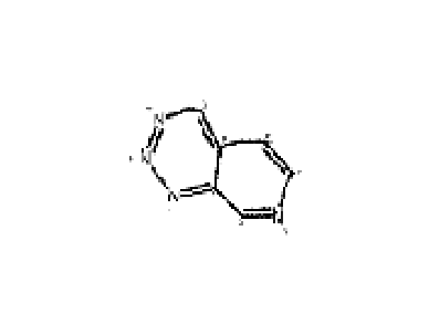 [c]1cncc2nnncc12